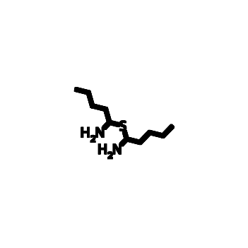 CCCCC(N)SC(N)CCCC